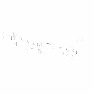 C=NN/C=C(C)/C=C/C=C(\C=C/C)N/C(C/C=C\NC/C=C/c1ccc(C(=O)N2CCCCC(O)CC2)[nH]1)=N/C